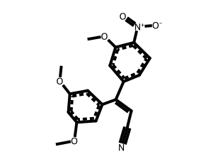 COc1cc(OC)cc(/C(=C\C#N)c2ccc([N+](=O)[O-])c(OC)c2)c1